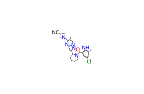 Cc1cn2nc(C3CCCCN3C(=O)c3cc(Cl)ccc3N)cc2nc1N1CC(C#N)C1